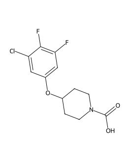 O=C(O)N1CCC(Oc2cc(F)c(F)c(Cl)c2)CC1